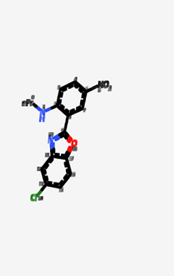 CCCNc1ccc([N+](=O)[O-])cc1-c1nc2cc(Cl)ccc2o1